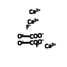 O=C([O-])[O-].O=C([O-])[O-].[Ca+2].[Ca+2].[Ca+2].[F-].[F-]